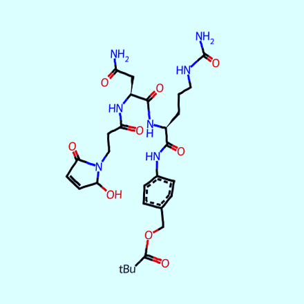 CC(C)(C)C(=O)OCc1ccc(NC(=O)[C@H](CCCNC(N)=O)NC(=O)[C@H](CC(N)=O)NC(=O)CCN2C(=O)C=CC2O)cc1